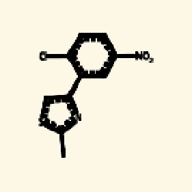 Cc1nc(-c2cc([N+](=O)[O-])ccc2Cl)cs1